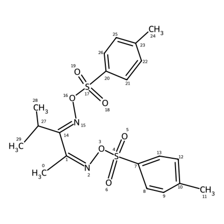 CC(=NOS(=O)(=O)c1ccc(C)cc1)C(=NOS(=O)(=O)c1ccc(C)cc1)C(C)C